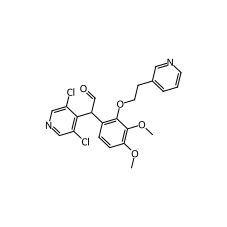 COc1ccc(C(C=O)c2c(Cl)cncc2Cl)c(OCCc2cccnc2)c1OC